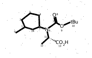 CC1CCCC(N(C(=O)OC(C)(C)C)[C@@H](C)C(=O)O)C1